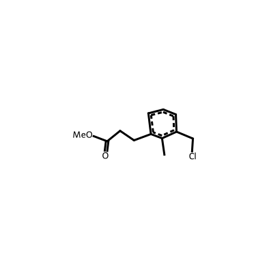 COC(=O)CCc1cccc(CCl)c1C